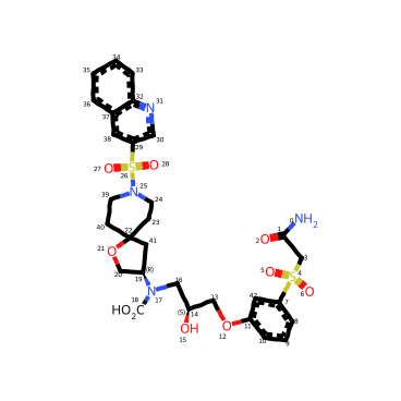 NC(=O)CS(=O)(=O)c1cccc(OC[C@@H](O)CN(C(=O)O)[C@H]2COC3(CCN(S(=O)(=O)c4cnc5ccccc5c4)CC3)C2)c1